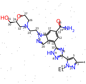 CCn1nc(C)cc1-c1n[nH]c(-c2cc(C(N)=O)cc3c2cnn3CCN2CCO[C@H](CO)C2)n1